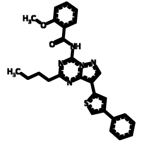 CCCCc1nc(NC(=O)c2ccccc2OC)n2ncc(-c3cc(-c4ccccc4)cs3)c2n1